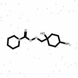 NC1CCC(O)(COOC(=O)N2CCCCC2)CC1